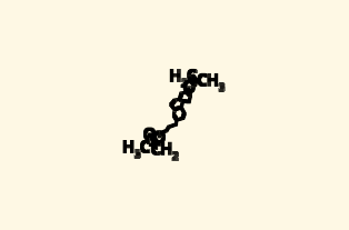 C=C(C)COc1ccc2c(ccc3cc(CCCCOC(=O)C(=C)C)ccc32)c1